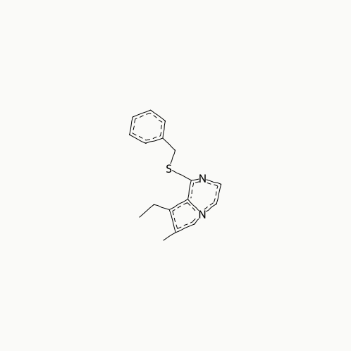 CCc1c(C)cn2ccnc(SCc3ccccc3)c12